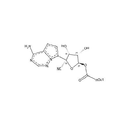 CCCCCCCCC(=O)O[C@H]1O[C@@](C#N)(c2ccc3c(N)ncnn23)[C@H](O)[C@@H]1O